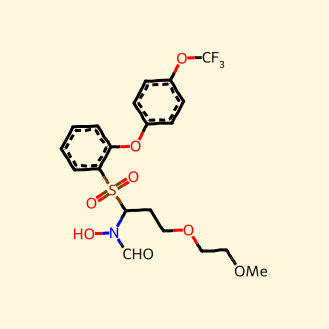 COCCOCCC(N(O)C=O)S(=O)(=O)c1ccccc1Oc1ccc(OC(F)(F)F)cc1